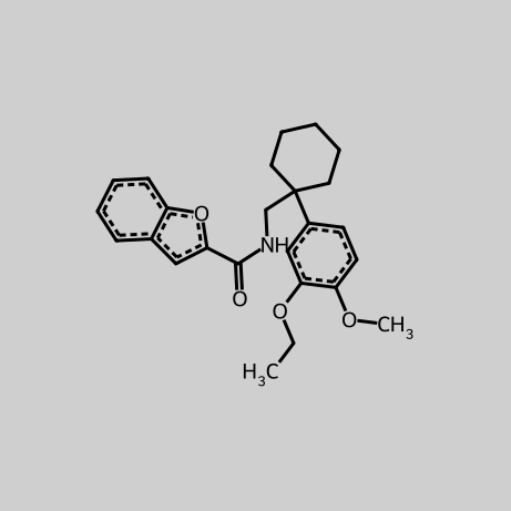 CCOc1cc(C2(CNC(=O)c3cc4ccccc4o3)CCCCC2)ccc1OC